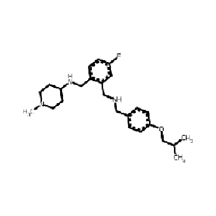 CC(C)COc1ccc(CNCc2cc(F)ccc2CNC2CCN(C)CC2)cc1